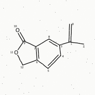 C=C(C)c1ccc2c(c1)C(=O)OC2